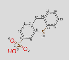 O=S(=O)(O)c1ccc2c(c1)Sc1ccccc1C2